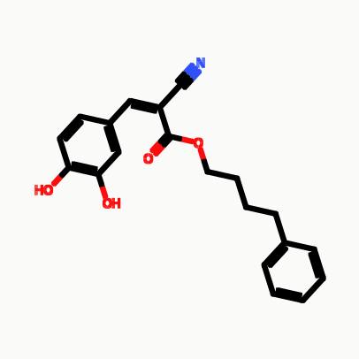 N#CC(=Cc1ccc(O)c(O)c1)C(=O)OCCCCc1ccccc1